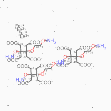 NOCCOC(CC(=O)[O-])(CC(=O)[O-])C(CC(=O)[O-])(CC(=O)[O-])ON.NOCCOC(CC(=O)[O-])(CC(=O)[O-])C(CC(=O)[O-])(CC(=O)[O-])ON.NOCCOC(CC(=O)[O-])(CC(=O)[O-])C(CC(=O)[O-])(CC(=O)[O-])ON.[Fe+3].[Fe+3].[Fe+3].[Fe+3]